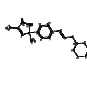 NC1=NC(N)(c2ccc(/C=C/CN3CCCCC3)nc2)NN1